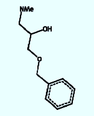 CNCC(O)COCc1ccccc1